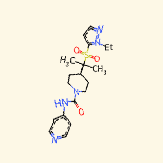 CCn1nccc1S(=O)(=O)C(C)(C)C1CCN(C(=O)Nc2ccncc2)CC1